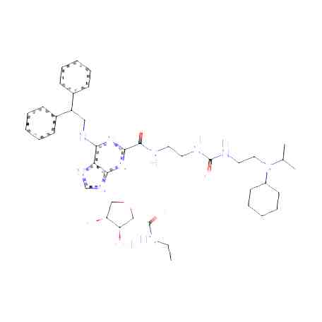 CCNC(=O)[C@H]1O[C@@H](n2cnc3c(NCC(c4ccccc4)c4ccccc4)nc(C(=O)NCCNC(=O)NCCN(C(C)C)C4CCCCC4)nc32)[C@H](O)[C@@H]1O